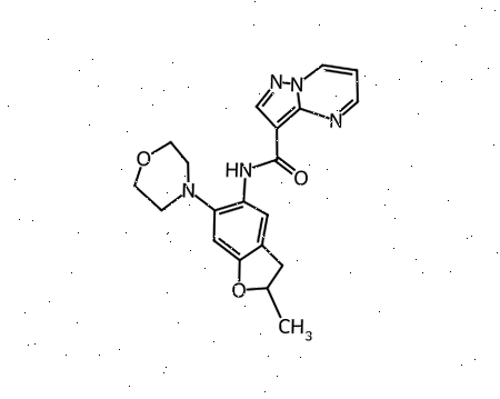 CC1Cc2cc(NC(=O)c3cnn4cccnc34)c(N3CCOCC3)cc2O1